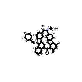 Cc1cc(C)c(C(=O)c2cc3c4cc(C(=O)/C(=N/O)c5ccccc5)ccc4n(CC4CCCCC4)c3c3ccccc23)c(C)c1